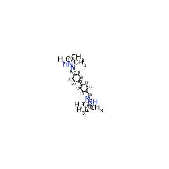 CC(C)(C)N/N=C/c1ccc(-c2ccc(/C=N/NC(C)(C)C)cc2)cc1